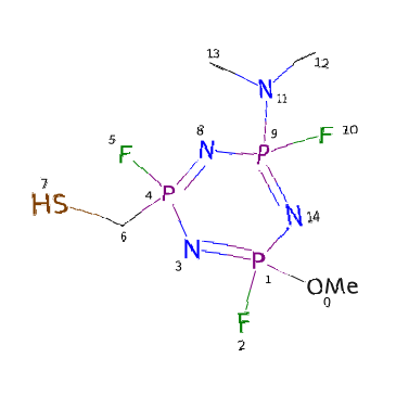 COP1(F)=NP(F)(CS)=NP(F)(N(C)C)=N1